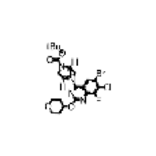 CC(C)(C)OC(=O)N1C[C@@H]2C[C@H]1CN2c1nc(OC2CCOCC2)nc2c(F)c(Cl)c(Br)cc12